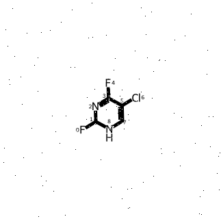 F[C]1N=C(F)C(Cl)=CN1